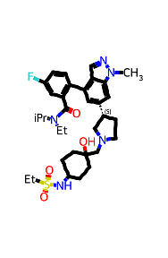 CCN(C(=O)c1cc(F)ccc1-c1cc([C@@H]2CCN(CC3(O)CCC(NS(=O)(=O)CC)CC3)C2)cc2c1cnn2C)C(C)C